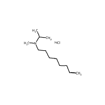 CCCCCCCCN(C)C(C)C.Cl